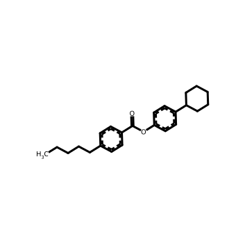 CCCCCc1ccc(C(=O)Oc2ccc(C3CCCCC3)cc2)cc1